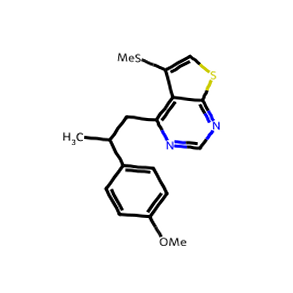 COc1ccc(C(C)Cc2ncnc3scc(SC)c23)cc1